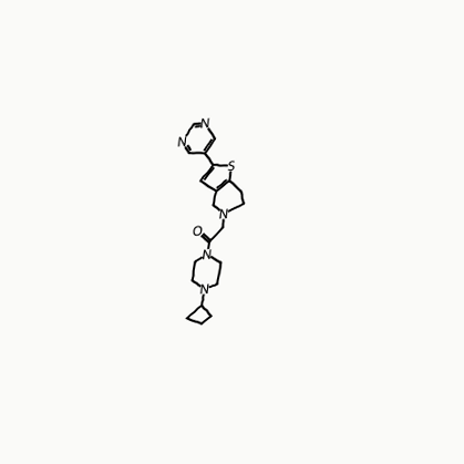 O=C(CN1CCc2sc(-c3cncnc3)cc2C1)N1CCN(C2CCC2)CC1